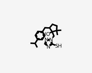 CC(C)c1ccc(CC2CCC(C)(C)C2(O)Cn2ncnc2S)cc1